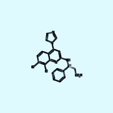 O=C(O)C[C@@H](Nc1cc(-n2ccnc2)c2ccc(Cl)c(Cl)c2n1)c1ccccc1